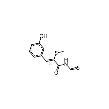 CS/C(=C\c1cccc(O)c1)C(=O)NC=S